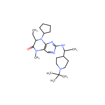 CCC1C(=O)N(C)c2cnc(NC(C)C3CCN(C(C)(C)C)CC3)nc2N1C1CCCC1